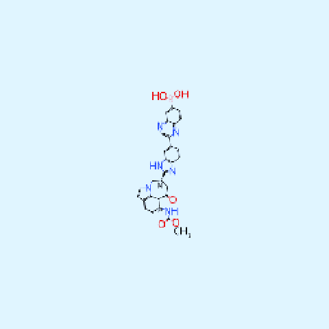 COC(=O)N[C@H]1CCc2ccn3c2C1C(=O)C[C@H](c1nc2ccc(-c4cnc5cc(B(O)O)ccc5n4)cc2[nH]1)C3